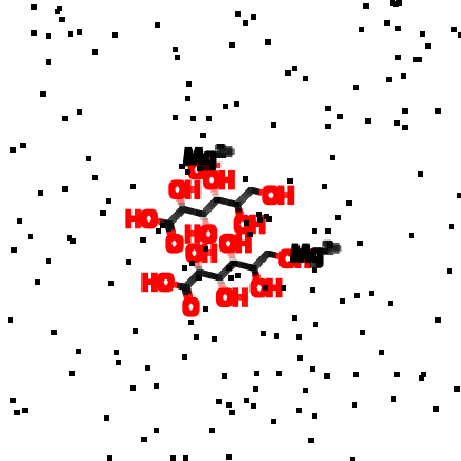 O=C(O)[C@H](O)[C@@H](O)[C@H](O)[C@H](O)CO.O=C(O)[C@H](O)[C@@H](O)[C@H](O)[C@H](O)CO.[Mg+2].[Mg+2].[O-2]